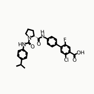 CC(C)c1ccc(NC(=O)N2CCC[C@@H]2C(=O)Nc2ccc(-c3cc(Cl)c(C(=O)O)cc3F)cc2)cc1